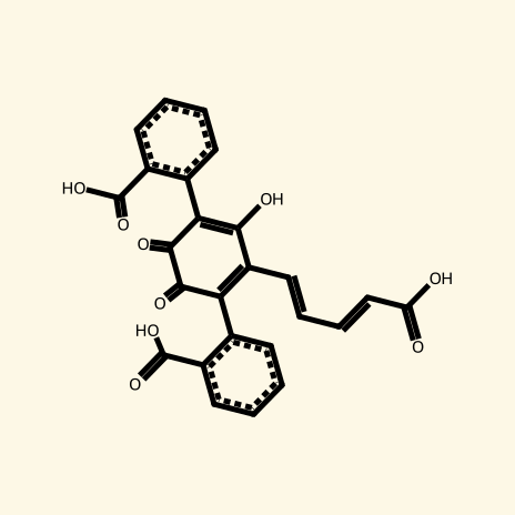 O=C(O)/C=C/C=C/C1=C(c2ccccc2C(=O)O)C(=O)C(=O)C(c2ccccc2C(=O)O)=C1O